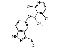 CC(Oc1ccc2[nH]nc(C=O)c2c1)c1c(Cl)ccnc1Cl